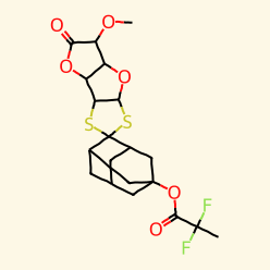 COC1C(=O)OC2C1OC1SC3(SC12)C1CC2CC3CC(OC(=O)C(C)(F)F)(C2)C1